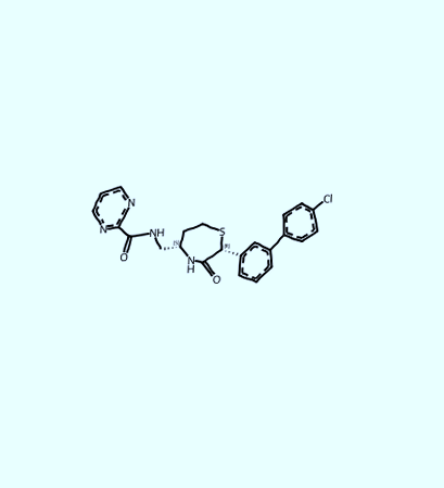 O=C(NC[C@@H]1CCS[C@H](c2cccc(-c3ccc(Cl)cc3)c2)C(=O)N1)c1ncccn1